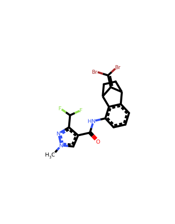 Cn1cc(C(=O)Nc2cccc3c2C2CCC3C2=C(Br)Br)c(C(F)F)n1